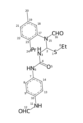 CCSC(NC(=O)Nc1ccc(NC=O)cc1)N(C=O)c1cc(C)ccc1C(C)C